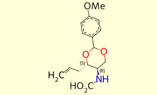 C=CC[C@@H]1OC(c2ccc(OC)cc2)OC[C@H]1NC(=O)O